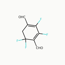 O=CC1=C(F)C(F)=C(C=O)C(F)(F)C1